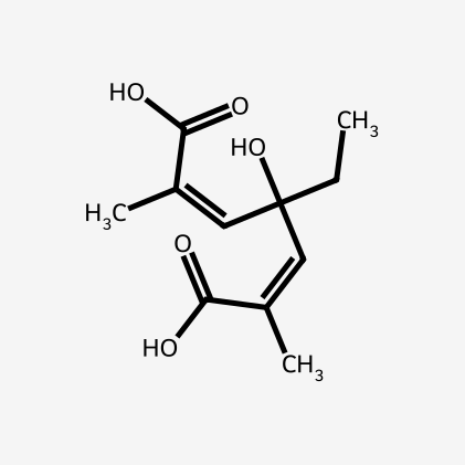 CCC(O)(C=C(C)C(=O)O)C=C(C)C(=O)O